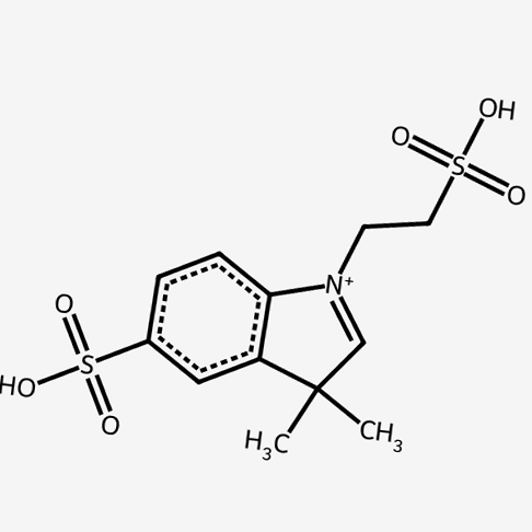 CC1(C)C=[N+](CCS(=O)(=O)O)c2ccc(S(=O)(=O)O)cc21